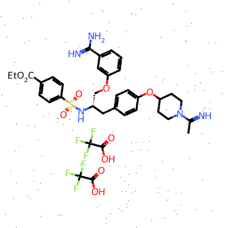 CCOC(=O)c1ccc(S(=O)(=O)N[C@H](COc2cccc(C(=N)N)c2)Cc2ccc(OC3CCN(C(C)=N)CC3)cc2)cc1.O=C(O)C(F)(F)F.O=C(O)C(F)(F)F